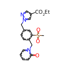 CCOC(=O)c1cnn(Cc2ccc(Cn3ccccc3=O)c(S(C)(=O)=O)c2)c1